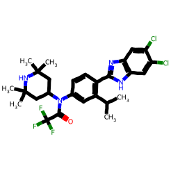 CC(C)c1cc(N(C(=O)C(F)(F)F)C2CC(C)(C)NC(C)(C)C2)ccc1-c1nc2cc(Cl)c(Cl)cc2[nH]1